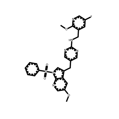 COc1cnc2c(c1)c(Cc1cnc(NCc3cc(F)cnc3OC)nc1)cn2S(=O)(=O)c1ccccc1